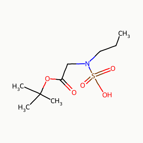 CCCN(CC(=O)OC(C)(C)C)S(=O)(=O)O